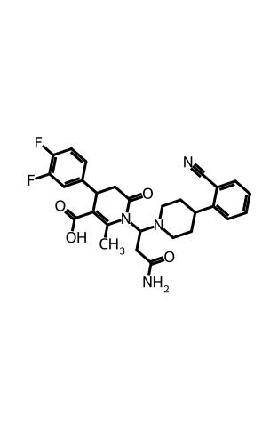 CC1=C(C(=O)O)C(c2ccc(F)c(F)c2)CC(=O)N1C(CC(N)=O)N1CCC(c2ccccc2C#N)CC1